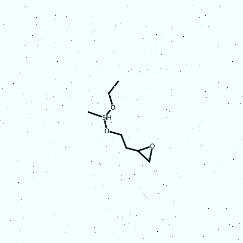 CCO[SiH](C)OCCC1CO1